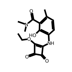 CCOc1c(Nc2ccc(C)c(C(=O)N(C)C)c2O)c(=O)c1=O